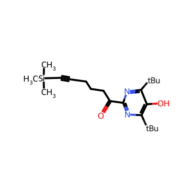 CC(C)(C)c1nc(C(=O)CCCC#C[Si](C)(C)C)nc(C(C)(C)C)c1O